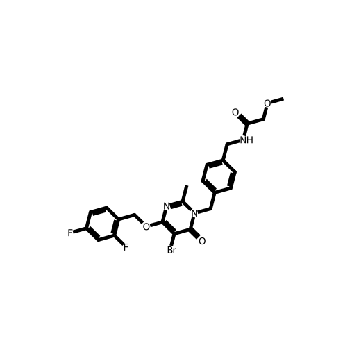 COCC(=O)NCc1ccc(Cn2c(C)nc(OCc3ccc(F)cc3F)c(Br)c2=O)cc1